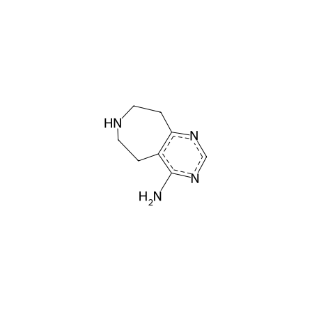 Nc1ncnc2c1CCNCC2